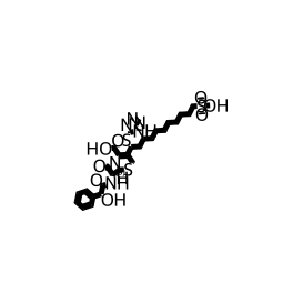 O=C(O)C1=C(C(CCCCCCCCCCS(=O)(=O)O)Sc2nnn[nH]2)CS[C@H]2C(NC(=O)C(O)c3ccccc3)C(=O)N12